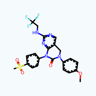 COc1ccc(N2Cc3cnc(NCC(F)(F)F)nc3N(c3ccc(S(C)(=O)=O)cc3)C2=O)cc1